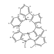 Cc1ccccc1-c1n2c3ccccc3c3cccc4c5ccccc5n(c34)c3cccc[n+]3c3cccc(c32)[n+]1C